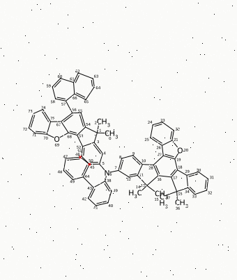 CC1(C)c2cc(N(c3ccc4c(c3)C(C)(C)c3c5c(c6oc7ccccc7c6c3-4)-c3ccccc3C5(C)C)c3ccccc3-c3ccccc3)ccc2-c2c1cc(-c1cccc3ccccc13)c1c2oc2ccccc21